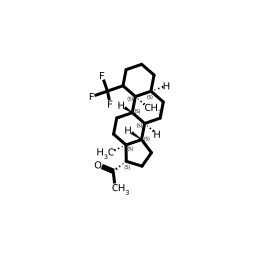 CC(=O)[C@H]1CC[C@H]2[C@@H]3CC[C@@H]4CCCC(C(F)(F)F)[C@]4(C)[C@H]3CC[C@]12C